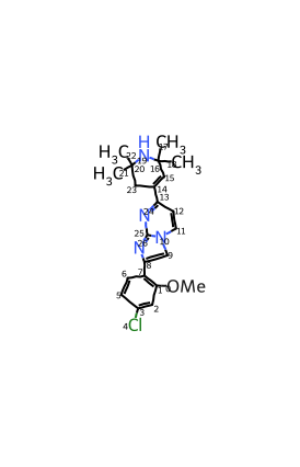 COc1cc(Cl)ccc1-c1cn2ccc(C3=CC(C)(C)NC(C)(C)C3)nc2n1